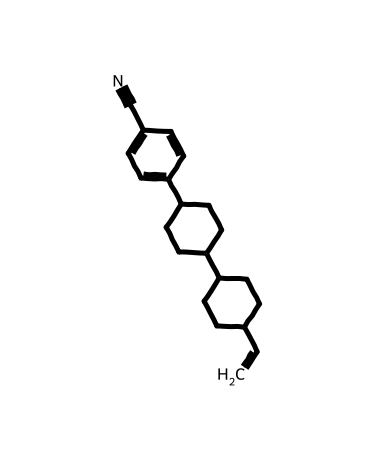 C=CC1CCC(C2CCC(c3ccc(C#N)cc3)CC2)CC1